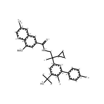 COc1cc(C(=O)NCC(I)(c2cc(C(C)(C)O)c(F)c(-c3ccc(F)cc3)n2)C2CC2)cc2cc(C(F)(F)F)cnc12